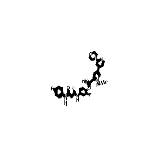 CNn1cc(-c2ccnc(N3CCOCC3)c2)cc1C(=N)Oc1ccc(NC(=O)CC(=O)Nc2ccc(F)cc2)cc1F